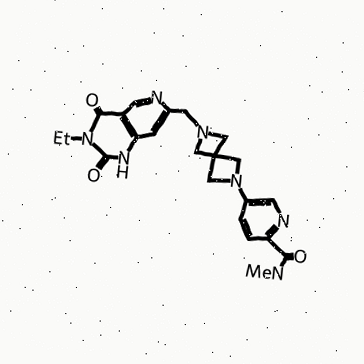 CCn1c(=O)[nH]c2cc(CN3CC4(C3)CN(c3ccc(C(=O)NC)nc3)C4)ncc2c1=O